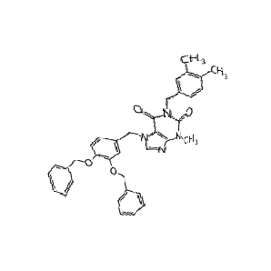 Cc1ccc(Cn2c(=O)c3c(ncn3Cc3ccc(OCc4ccccc4)c(OCc4ccccc4)c3)n(C)c2=O)cc1C